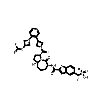 O=C(N[C@H]1CCC[C@H]2CC[C@@H](C(=O)N3CC(c4cnccc4N4CC(OC(F)F)C4)C3)N2C1=O)c1cc2cc([C@@H](F)P(=O)(O)O)ccc2s1